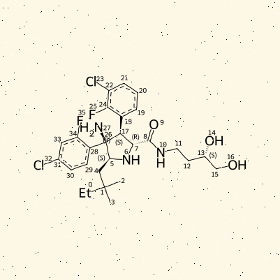 CCC(C)(C)C[C@@H]1N[C@@H](C(=O)NCC[C@H](O)CO)[C@H](c2cccc(Cl)c2F)[C@@]1(N)c1ccc(Cl)cc1F